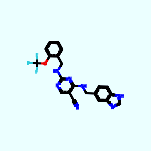 N#Cc1cnc(NCc2ccccc2OC(F)(F)F)nc1NCc1ccc2[nH]cnc2c1